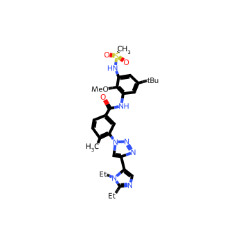 CCc1ncc(-c2cn(-c3cc(C(=O)Nc4cc(C(C)(C)C)cc(NS(C)(=O)=O)c4OC)ccc3C)nn2)n1CC